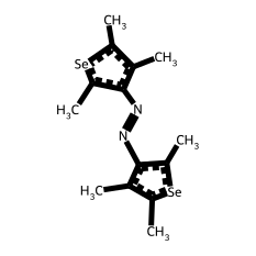 Cc1[se]c(C)c(N=Nc2c(C)[se]c(C)c2C)c1C